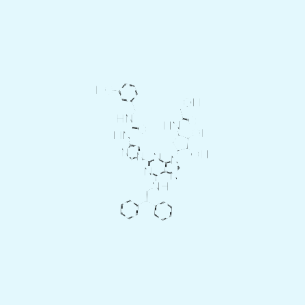 O=C(CO)NC1CC(n2cnc3c(NCC(c4ccccc4)c4ccccc4)nc(-n4cnc(NC(=O)NCc5cccc(O)c5)c4)nc32)C(O)C1O